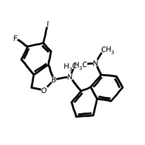 CN(C)c1cccc2cccc(N(C)B3OCc4cc(F)c(I)cc43)c12